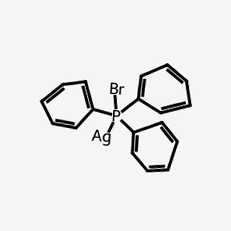 Br[P]([Ag])(c1ccccc1)(c1ccccc1)c1ccccc1